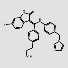 O=C(O)CCc1ccc(/C(Nc2ccc(Cn3ccnc3)cc2)=C2/C(=O)Nc3cc(Cl)ccc32)cc1